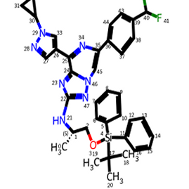 C[C@@H](CO[Si](c1ccccc1)(c1ccccc1)C(C)(C)C)Nc1nc2c(-c3cnn(C4CC4)c3)nc(-c3ccc(C(F)F)cc3)cn2n1